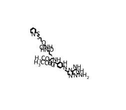 CC(C)(C)OC(=O)[C@H](CCC(=O)NNC(=O)OCCSSc1ccccn1)NC(=O)c1ccc(NCc2cnc3nc(N)[nH]c(=N)c3n2)cc1